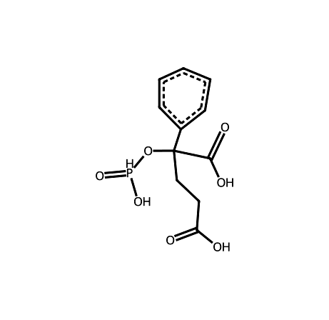 O=C(O)CCC(O[PH](=O)O)(C(=O)O)c1ccccc1